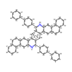 c1ccc(-c2ccc(-c3nc4cc5c(ccc6ccccc65)cc4c4c3C3CCC4c4c(-c5ccc(-c6ccccc6)cc5)nc5cc6c(ccc7ccccc76)cc5c43)cc2)cc1